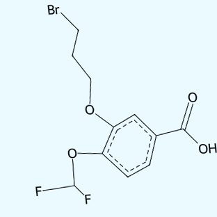 O=C(O)c1ccc(OC(F)F)c(OCCCBr)c1